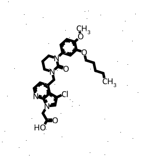 CCCCCOc1cc(N2CCCN(Cc3ccnc4c3c(Cl)cn4CC(=O)O)C2=O)ccc1OC